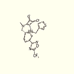 CN(Cc1ccc(-c2noc(C(F)(F)F)n2)cc1)c1c(NCc2ccsc2)c(=O)c1=O